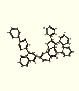 c1ccc(-c2ccc(-c3nc(-c4ccc5nc(-c6ccccc6)c6c(-c7cccnc7)c(-c7cccnc7)sc6c5c4)nc4ccccc34)cc2)cc1